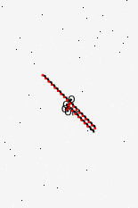 CCCCCCCCCCCCCCCCCC(=O)C(CCCCCCCCCCCCCCCC)C(=O)C(CCCCCCCCCCCCCCCC)C(=O)O